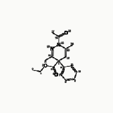 CCOC(=O)C1(c2ccccc2)C=C(C)N(C(C)=O)N=C1C